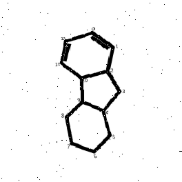 C1=CC2CC3CCCCC3C2C=C1